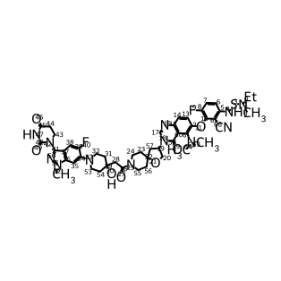 CCN(C)SNc1ccc(F)c(Oc2ccc3ncn(C4COC5(CCN(C(=O)CC6(O)CCN(c7cc8c(cc7F)c(N7CCC(=O)NC7=O)nn8C)CC6)CC5)C4)c(=O)c3c2N(C)C)c1C#N